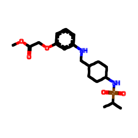 COC(=O)COc1cccc(NCC2CCC(NS(=O)(=O)C(C)C)CC2)c1